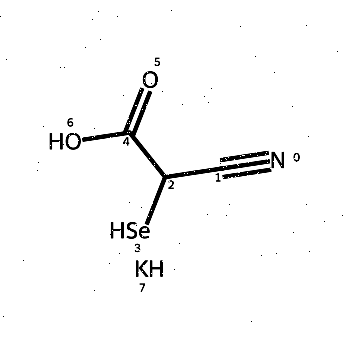 N#CC([SeH])C(=O)O.[KH]